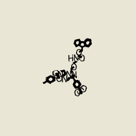 Cc1ccc(S(=O)(=O)n2ccc3c2ncc2c(-c4ccc(S(C)(=O)=O)cc4)nc(COCCNC(=O)OCC4c5ccccc5-c5ccccc54)n23)cc1